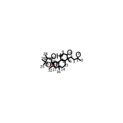 CC(=O)CCC1(C)C(=O)C=CC2=C1CCC1(C)C3CCC21OC1(OC(C)(C)C(C)C1O)C3C